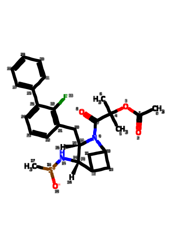 CC(=O)OC(C)(C)C(=O)N1C2CC(C2)[C@H](N[S+](C)[O-])[C@@H]1Cc1cccc(-c2ccccc2)c1F